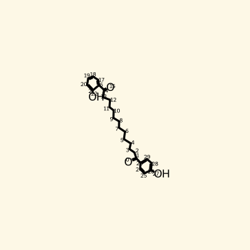 O=C(CCCCCCCCCCCCC(=O)c1ccccc1O)c1ccc(O)cc1